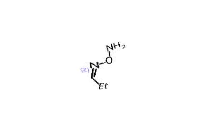 CC/C=N\ON